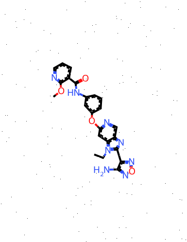 CCn1c(-c2nonc2N)nc2cnc(Oc3cccc(NC(=O)c4cccnc4OC)c3)cc21